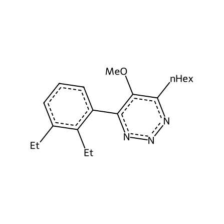 CCCCCCc1nnnc(-c2cccc(CC)c2CC)c1OC